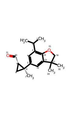 CC(C)c1cc([C@@]2(C)C[C@@H]2C=O)cc2c1OCC2(C)C